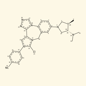 C[C@@H]1CN(c2ccc3c(c2)Cn2c(cc(-c4ccc(C#N)cc4)c2Cl)-c2nncn2-3)C[C@H]1N(C)C